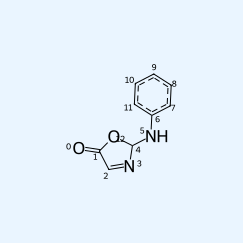 O=C1C=NC(Nc2ccccc2)O1